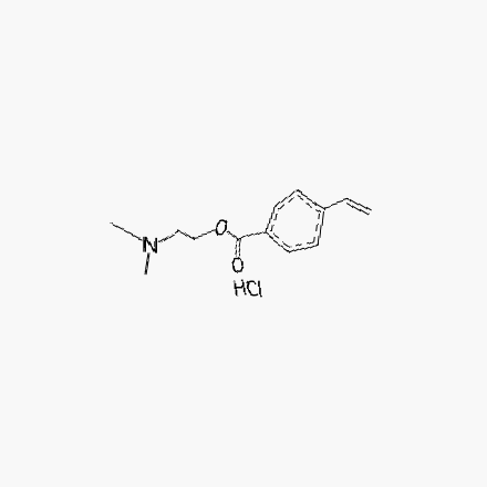 C=Cc1ccc(C(=O)OCCN(C)C)cc1.Cl